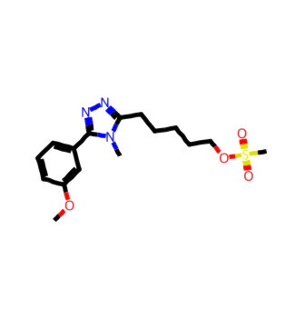 COc1cccc(-c2nnc(CCCCCOS(C)(=O)=O)n2C)c1